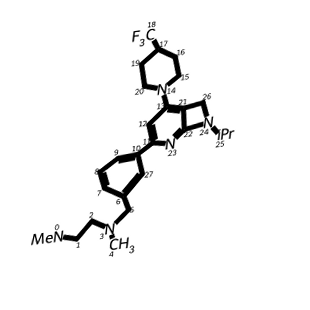 CNCCN(C)Cc1cccc(-c2cc(N3CCC(C(F)(F)F)CC3)c3c(n2)N(C(C)C)C3)c1